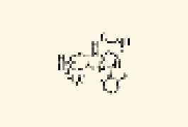 C=CC(Nc1nc(-c2c(F)cccc2F)nc2c1C(=O)NC2)[C@H](C)C(C)C